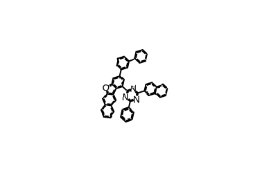 c1ccc(-c2cccc(-c3cc(-c4nc(-c5ccccc5)nc(-c5ccc6ccccc6c5)n4)c4c(c3)oc3cc5ccccc5cc34)c2)cc1